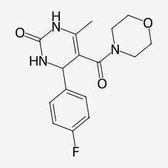 CC1=C(C(=O)N2CCOCC2)C(c2ccc(F)cc2)NC(=O)N1